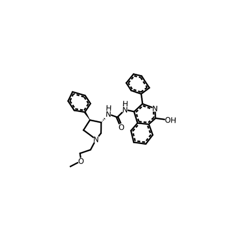 COCCN1C[C@@H](NC(=O)Nc2c(-c3ccccc3)nc(O)c3ccccc23)[C@H](c2ccccc2)C1